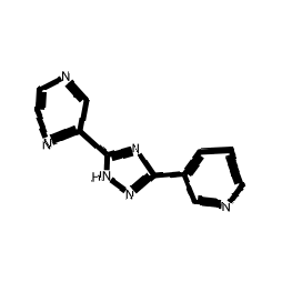 c1cncc(-c2n[nH]c(-c3cnccn3)n2)c1